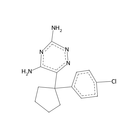 Nc1nnc(C2(c3ccc(Cl)cc3)CCCC2)c(N)n1